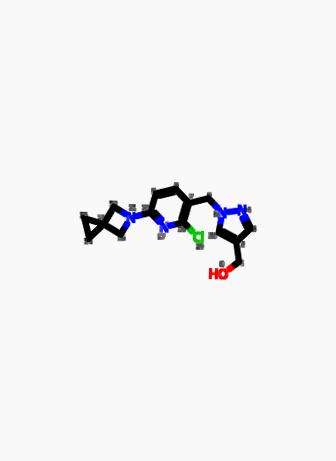 OCc1cnn(Cc2ccc(N3CC4(CC4)C3)nc2Cl)c1